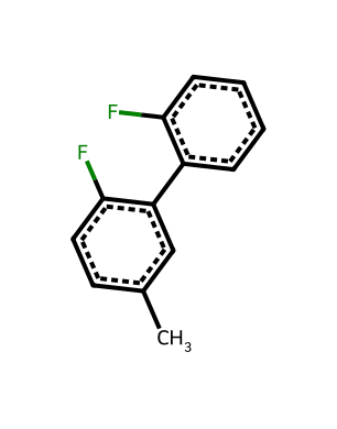 Cc1ccc(F)c(-c2ccccc2F)c1